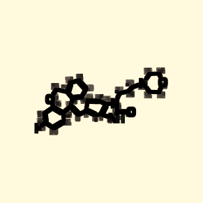 O=c1[nH]c2cc(/C=C3\c4ccccc4COc4cc(F)ccc43)ccc2n1CCCN1CCOCC1